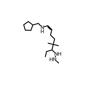 CCC(NNC)C(C)(C)CC/C=C\NCC1CCCC1